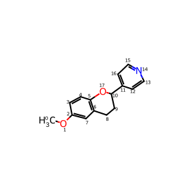 COc1ccc2c(c1)CCC(c1ccncc1)O2